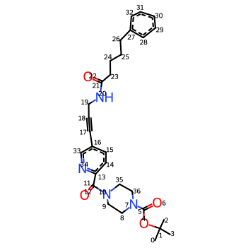 CC(C)(C)OC(=O)N1CCN(C(=O)c2ccc(C#CCNC(=O)CCCCc3ccccc3)cn2)CC1